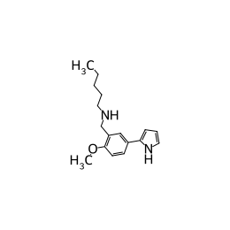 CCCCCNCc1cc(-c2ccc[nH]2)ccc1OC